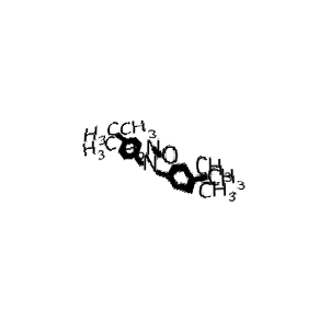 CC(C)(C)c1ccc(CN(Cc2ccc(C(C)(C)C)cc2)C(N)=O)cc1